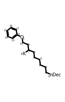 CCCCCCCCCCCCCCCC[CH]([K])CCOc1ccccc1